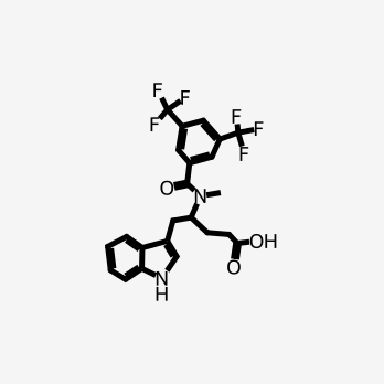 CN(C(=O)c1cc(C(F)(F)F)cc(C(F)(F)F)c1)C(CCC(=O)O)Cc1c[nH]c2ccccc12